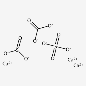 O=C([O-])[O-].O=S(=O)([O-])[O-].O=S([O-])[O-].[Ca+2].[Ca+2].[Ca+2]